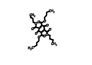 CCCCOC(=O)C1=C(C(=O)OCCCC)C(=O)C(C(=O)OCCCC)=C(C(=O)OCCCC)C1=O